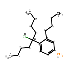 CCCCc1ccccc1C(Cl)(CCCC)CCCC.P